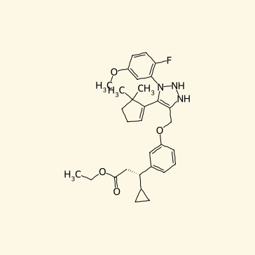 CCOC(=O)C[C@H](c1cccc(OCC2=C(C3=CCCC3(C)C)N(c3cc(OC)ccc3F)NN2)c1)C1CC1